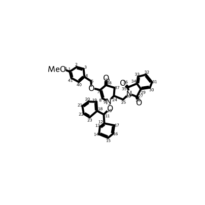 COc1ccc(COC2=CN(OC(c3ccccc3)c3ccccc3)C(CN3C(=O)c4ccccc4C3=O)CC2=O)cc1